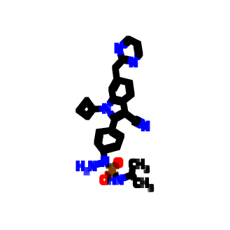 CC(C)NS(=O)(=O)N(N)c1ccc(-c2c(C#N)c3ccc(Cc4ncccn4)cc3n2C2CCC2)cc1